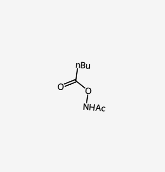 CCCCC(=O)ONC(C)=O